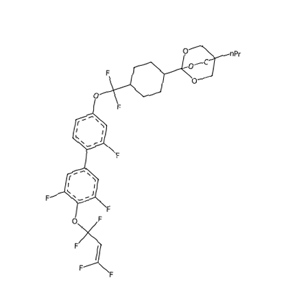 CCCC12COC(C3CCC(C(F)(F)Oc4ccc(-c5cc(F)c(OC(F)(F)C=C(F)F)c(F)c5)c(F)c4)CC3)(OC1)OC2